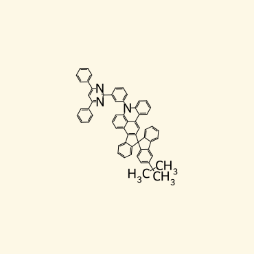 CC(C)(C)c1ccc2c(c1)-c1ccccc1C21c2ccccc2-c2c1cc1c3c(cccc23)N(c2cccc(-c3nc(-c4ccccc4)cc(-c4ccccc4)n3)c2)c2ccccc2-1